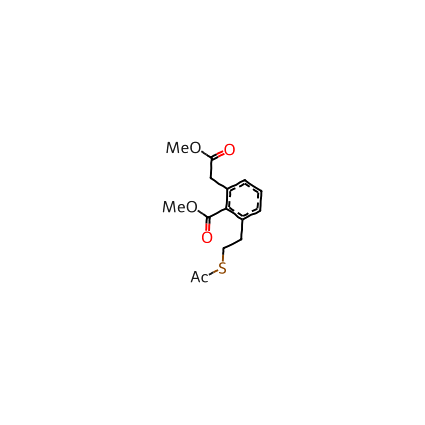 COC(=O)Cc1cccc(CCSC(C)=O)c1C(=O)OC